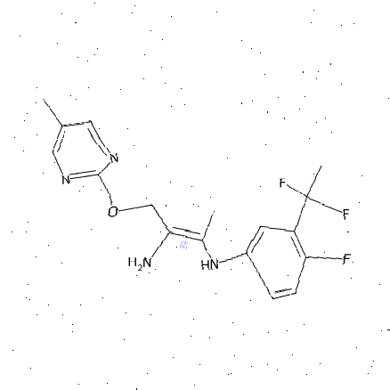 C/C(Nc1ccc(F)c(C(C)(F)F)c1)=C(/N)COc1ncc(C)cn1